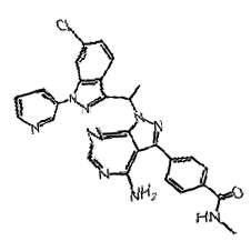 CNC(=O)c1ccc(-c2nn(C(C)c3nn(-c4cccnc4)c4cc(Cl)ccc34)c3ncnc(N)c23)cc1